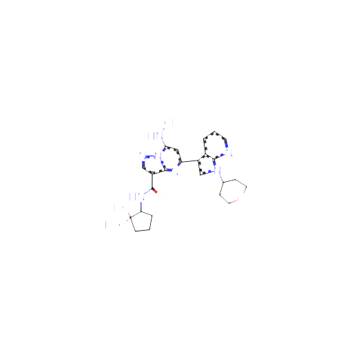 CNc1cc(-c2cn(C3CCOCC3)c3ncccc23)nc2c(C(=O)NC3CCC[C@]3(C)O)cnn12